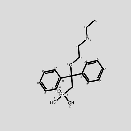 CCOCCOC(C[PH](O)(O)O)(c1ccccc1)c1ccccc1